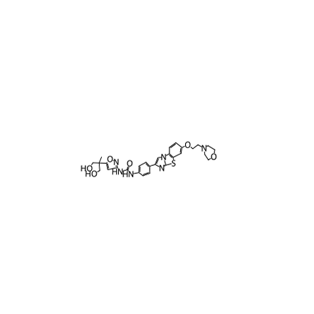 CC(CO)(CO)c1cc(NC(=O)Nc2ccc(-c3cn4c(n3)sc3cc(OCCN5CCOCC5)ccc34)cc2)no1